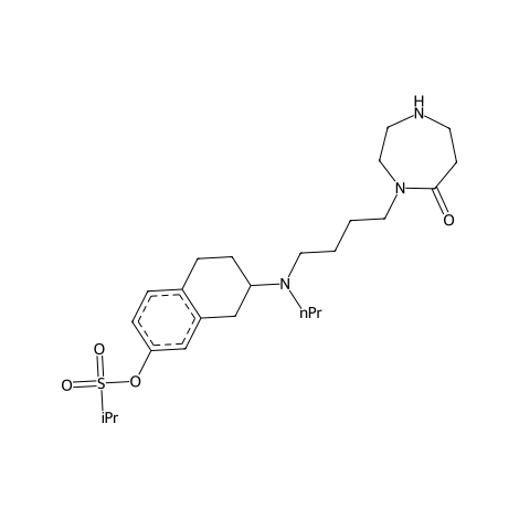 CCCN(CCCCN1CCNCCC1=O)C1CCc2ccc(OS(=O)(=O)C(C)C)cc2C1